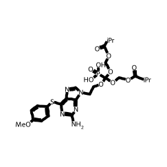 COc1ccc(Sc2nc(N)nc3c2ncn3CCOC(OCOC(=O)C(C)C)(OCOC(=O)C(C)C)P(=O)(O)O)cc1